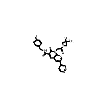 CC1(C)CN(C(=O)Cn2c(=O)c(C(=O)NCc3ccc(Cl)cc3)cc3cc(-c4ccnnc4)cnc32)C1